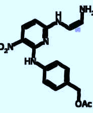 CC(=O)OCc1ccc(Nc2nc(N/C=C\N)ccc2[N+](=O)[O-])cc1